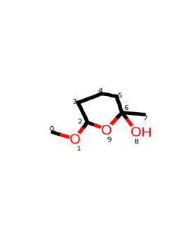 COC1CCCC(C)(O)O1